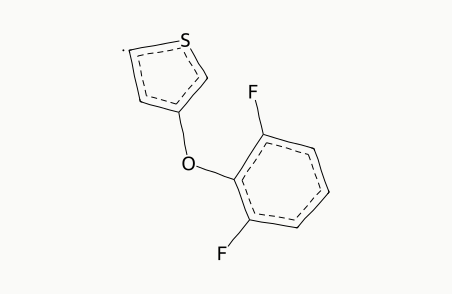 Fc1cccc(F)c1Oc1c[c]sc1